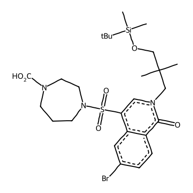 CC(C)(CO[Si](C)(C)C(C)(C)C)Cn1cc(S(=O)(=O)N2CCCN(C(=O)O)CC2)c2cc(Br)ccc2c1=O